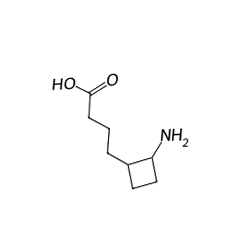 NC1CCC1CCCC(=O)O